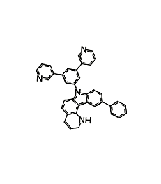 C1=Cc2ccc3c(c2NC1)c1cc(-c2ccccc2)ccc1n3-c1cc(-c2cccnc2)cc(-c2cccnc2)c1